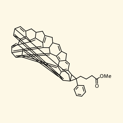 COC(=O)CCCC1(c2ccccc2)C2c3cc4c5c6c7c8c9c%10c%11c%12c%13c%14c%15c%16c(c%17c3c5c8c%17c%15c%139)C21CC%16C=C%14CC%12CC=%11CC(C=C6C4)C%107